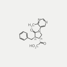 Cc1ncncc1N1C[C@H](C(=O)C(=O)O)[C@@H](Cc2ccccc2)C1=O